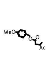 COc1ccc(COC(=O)CC(C)C(C)=O)cc1